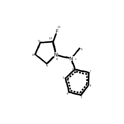 CN(c1ccccc1)N1CCCC1F